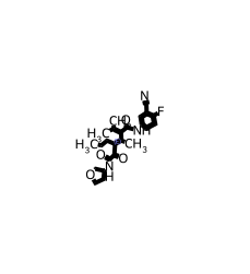 CCC/C(C(=O)C(=O)NC1CCOC1)=C(/C)C(C(=O)Nc1ccc(F)c(C#N)c1)=C(C)C